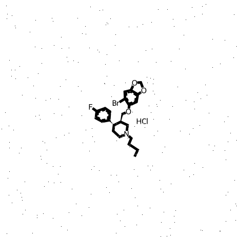 CCCCN1CC[C@H](c2ccc(F)cc2)[C@@H](COc2cc3c(cc2Br)OCO3)C1.Cl